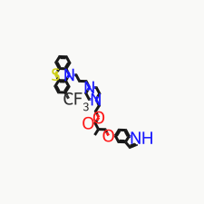 CC(COc1ccc2[nH]ccc2c1)C(=O)OCCN1CCN(CCCN2c3ccccc3Sc3ccc(C(F)(F)F)cc32)CC1